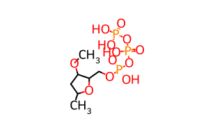 COC1CC(C)OC1COP(=O)(O)OP(=O)(O)OP(=O)(O)O